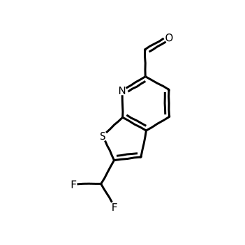 O=Cc1ccc2cc(C(F)F)sc2n1